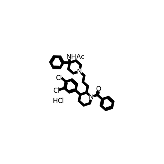 CC(=O)NC1(c2ccccc2)CCN(CCCC2C(c3ccc(Cl)c(Cl)c3)CCCN2C(=O)c2ccccc2)CC1.Cl